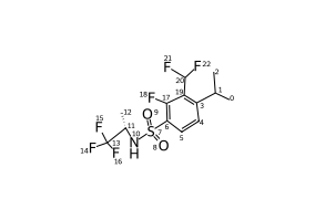 CC(C)c1ccc(S(=O)(=O)N[C@@H](C)C(F)(F)F)c(F)c1C(F)F